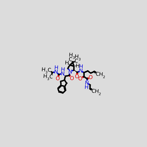 C=CCCC(NC(=O)[C@@H]1[C@H]2[C@@H](CN1C(=O)[C@@H](NC(=O)NC(C)C)C1Cc3ccccc3C1)C2(C)C)C(=O)C(=O)NCC=C